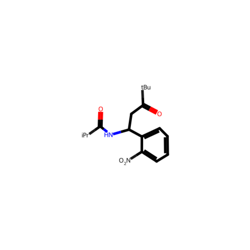 CC(C)C(=O)NC(CC(=O)C(C)(C)C)c1ccccc1[N+](=O)[O-]